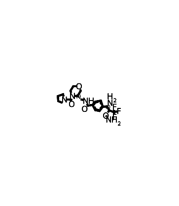 NOC([C@@H](N)c1ccc(C(=O)NC[C@H]2COCCN2C(=O)N2CCCC2)cc1)C(F)(F)F